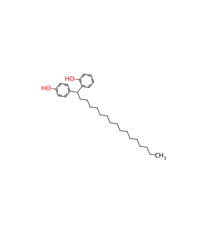 CCCCCCCCCCCCCCCCC(c1ccc(O)cc1)c1ccccc1O